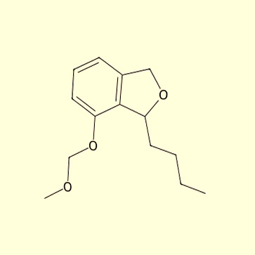 CCCCC1OCc2cccc(OCOC)c21